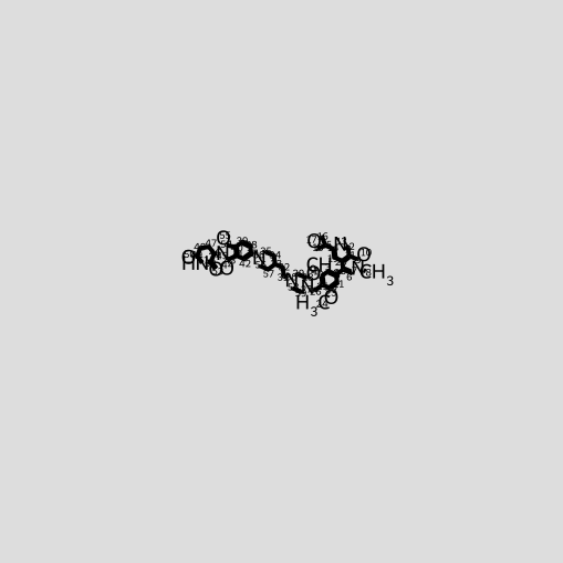 COc1cc(-c2cn(C)c(=O)c3cnc(C4COC4)cc23)cc(OC)c1CN1CCN(CCC2CCN(c3ccc4c(c3)C(=O)N(C3CCC(=O)NC3=O)C4=O)CC2)CC1